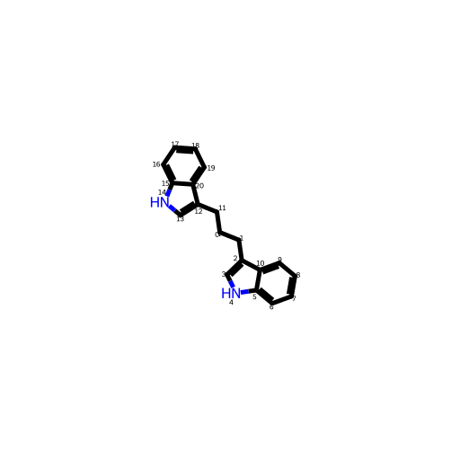 [CH](Cc1c[nH]c2ccccc12)Cc1c[nH]c2ccccc12